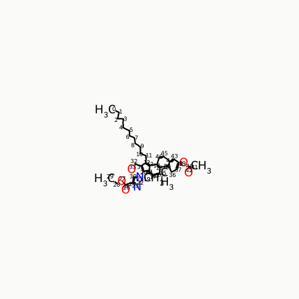 CCCCCCCCCCCCC1=C2C3=C(C=C[C@]2(C)C(n2cnc(C(=O)OCC)c2)=C1C=O)[C@]1(C)CC=C(OC(C)=O)C=C1C=C3